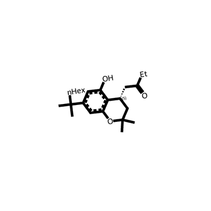 CCCCCCC(C)(C)c1cc(O)c2c(c1)OC(C)(C)C[C@H]2CC(=O)CC